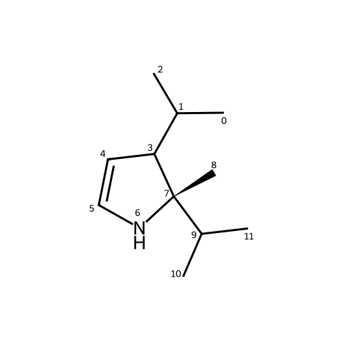 CC(C)C1C=CN[C@@]1(C)C(C)C